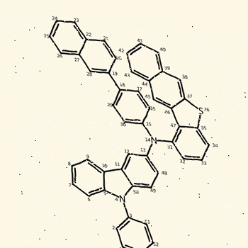 c1ccc(-n2c3ccccc3c3cc(N(c4ccc(-c5ccc6ccccc6c5)cc4)c4cccc5sc6cc7ccccc7cc6c45)ccc32)cc1